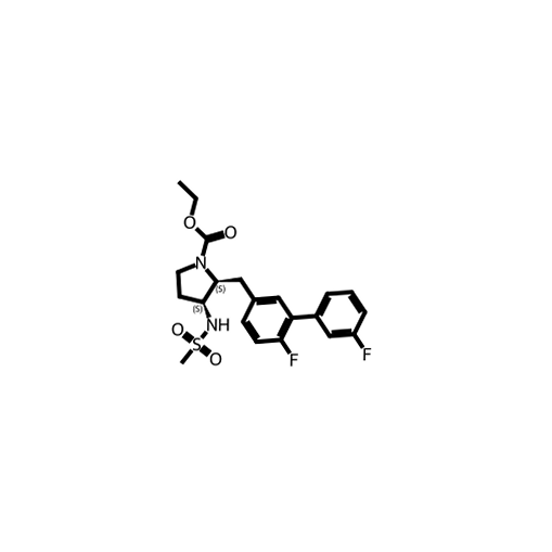 CCOC(=O)N1CC[C@H](NS(C)(=O)=O)[C@@H]1Cc1ccc(F)c(-c2cccc(F)c2)c1